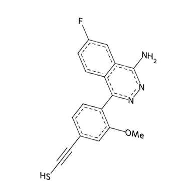 COc1cc(C#CS)ccc1-c1nnc(N)c2cc(F)ccc12